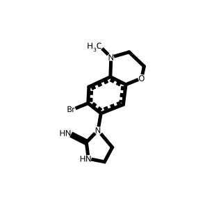 CN1CCOc2cc(N3CCNC3=N)c(Br)cc21